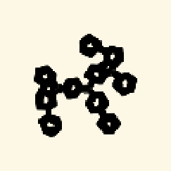 c1ccc(-c2ccc(N(c3ccc(-n4c5ccccc5c5ccc(-c6ccccc6)cc54)cc3)c3ccc4c5c(-c6ccccc6)cccc5n(-c5ccccc5)c4c3)cc2)cc1